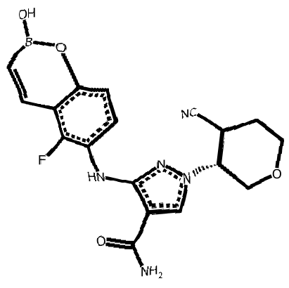 N#CC1CCOC[C@@H]1n1cc(C(N)=O)c(Nc2ccc3c(c2F)C=CB(O)O3)n1